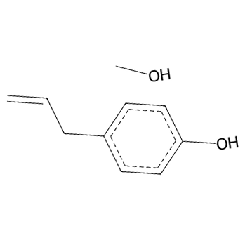 C=CCc1ccc(O)cc1.CO